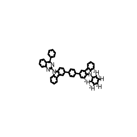 [2H]c1c([2H])c([2H])c(-n2c3ccccc3c3cc(-c4ccc(-c5ccc6c(c5)c5ccccc5n6-c5nc(-c6ccccc6)c6ccccc6n5)cc4)ccc32)c([2H])c1[2H]